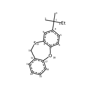 CCC(C)(C)c1ccc2c(c1)SCc1ccccc1O2